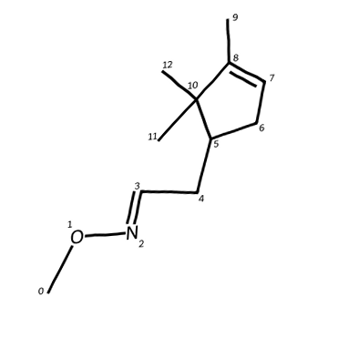 CO/N=C/CC1CC=C(C)C1(C)C